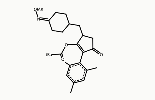 CON=C1CCC(CC2CC(=O)C(c3c(C)cc(C)cc3C)=C2OC(=O)C(C)(C)C)CC1